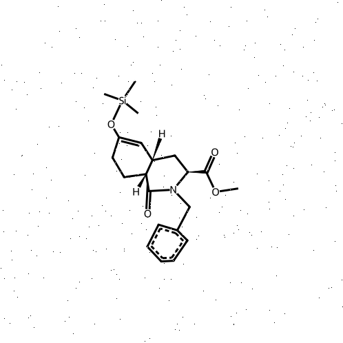 COC(=O)[C@@H]1C[C@H]2C=C(O[Si](C)(C)C)CC[C@H]2C(=O)N1Cc1ccccc1